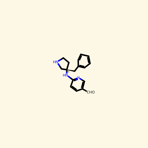 O=Cc1ccc(N[C@@]2(Cc3ccccc3)CCNC2)nc1